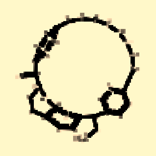 O=C(O)CC1c2ccc(nc2)OCCCCCCOc2ccc(cc2)C(=O)N2CCc3ccc1cc3C2